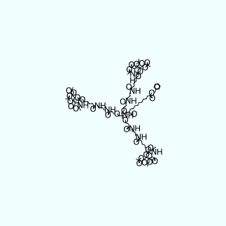 CC(=O)NC1C(C=O)[C@H](OC(C)=O)C(COC(C)=O)O[C@H]1OCCCCC(=O)NCCCNC(=O)CCOCC(COCCC(=O)NCCCNC(=O)CCCCO[C@@H]1OC(COC(C)=O)[C@@H](OC(C)=O)C(C=O)C1NC(C)=O)(COCCC(=O)NCCCNC(=O)CCCCO[C@@H]1OC(COC(C)=O)[C@@H](OC(C)=O)C(C=O)C1NC(C)=O)NCC(C=O)CCCCCCCCCC(=O)OCc1ccccc1